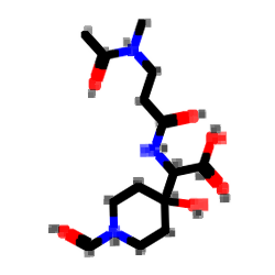 CC(=O)N(C)CCC(=O)NC(C(=O)O)C1(O)CCN(C=O)CC1